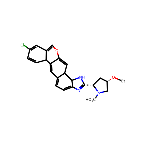 CCO[C@H]1C[C@@H](C2=NC3=CC=C4C=C5C(=CC4C3N2)OC=C2C=C(Cl)C=CC25)N(C(=O)O)C1